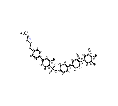 C/C=C/CCc1ccc(-c2ccc(C(F)(F)Oc3ccc(-c4ccc(-c5cc(F)c(F)c(F)c5)c(F)c4)cc3)c(F)c2)nc1